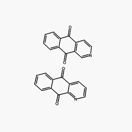 O=C1c2ccccc2C(=O)c2cnccc21.O=C1c2ccccc2C(=O)c2ncccc21